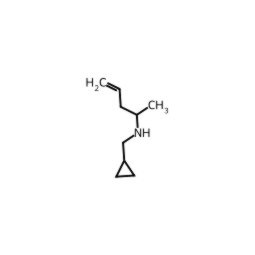 C=CCC(C)NCC1CC1